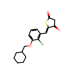 O=C1CC(=O)/C(=C/c2cccc(OCC3CCCCC3)c2Cl)S1